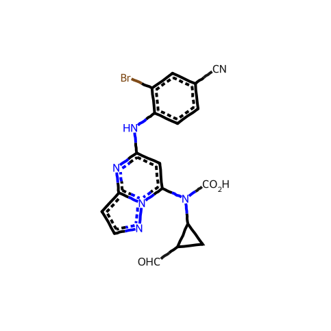 N#Cc1ccc(Nc2cc(N(C(=O)O)C3CC3C=O)n3nccc3n2)c(Br)c1